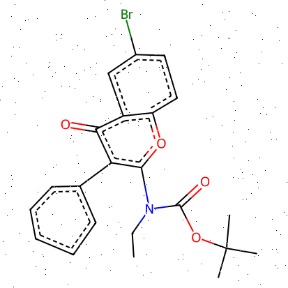 CCN(C(=O)OC(C)(C)C)c1oc2ccc(Br)cc2c(=O)c1-c1ccccc1